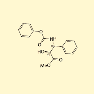 COC(=O)[C@@H](O)[C@H](NC(=O)Oc1ccccc1)c1ccccc1